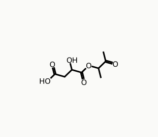 CC(=O)C(C)OC(=O)C(O)CC(=O)O